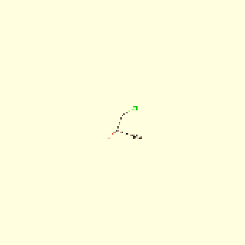 O[CH]([Mo])CCl